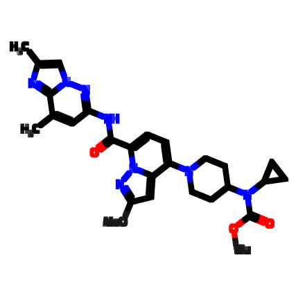 COc1cc2c(N3CCC(N(C(=O)OC(C)(C)C)C4CC4)CC3)ccc(C(=O)Nc3cc(C)c4nc(C)cn4n3)n2n1